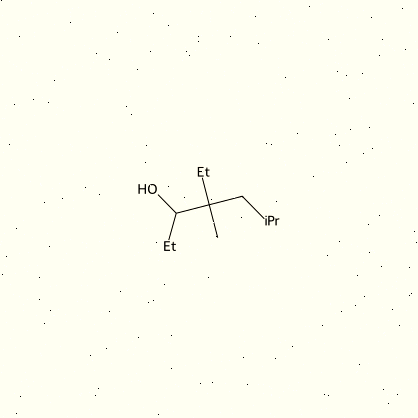 CCC(O)C(C)(CC)CC(C)C